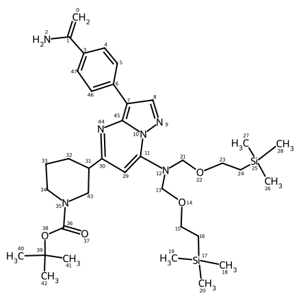 C=C(N)c1ccc(-c2cnn3c(N(COCC[Si](C)(C)C)COCC[Si](C)(C)C)cc(C4CCCN(C(=O)OC(C)(C)C)C4)nc23)cc1